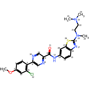 COc1ccc(-c2cnc(C(=O)Nc3ccc4nc(N(C)CCN(C)C)sc4c3)cn2)c(Cl)c1